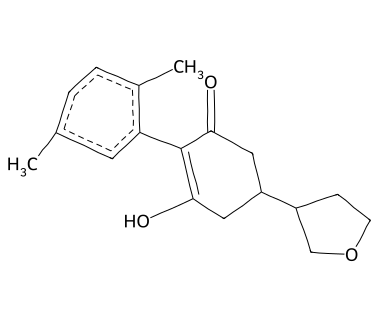 Cc1ccc(C)c(C2=C(O)CC(C3CCOC3)CC2=O)c1